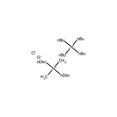 CCCCCCCCCC[N+](C)(C)CCCCCCCCCC.CCCC[N+](CCCC)(CCCC)CCCC.[Cl-].[Cl-]